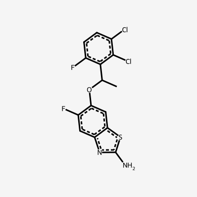 CC(Oc1cc2sc(N)nc2cc1F)c1c(F)ccc(Cl)c1Cl